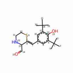 CC(C)(C)c1cc(C=C2SCCNC2C=O)cc(C(C)(C)C)c1O